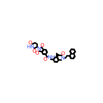 O=C1CCC(N2C(=O)c3ccc(C(=O)NCc4ccc(CN(CCc5cccc6ccccc56)C(=O)C5CC5)cc4)cc3C2=O)C(=O)N1